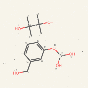 CC(C)(O)C(C)(C)O.OCc1cccc(OB(O)O)c1